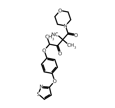 CC(Oc1ccc(Oc2ccsn2)cc1)C(=O)C(C)(C#N)C(=O)N1CCOCC1